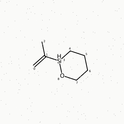 C=C(C)[SiH]1CCCCO1